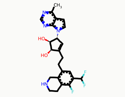 Cc1ncnc2c1ccn2[C@@H]1C=C(CCc2cc(C(F)F)c(F)c3c2CNCC3)[C@@H](O)[C@H]1O